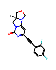 O=c1nc(C#Cc2ccc(F)cc2F)cc2n1C[C@H]1COCN21